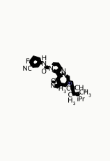 CC(C)C(C)C(C)C(C)(C)/C=C1\Cc2cnoc2-c2c3c(nn2C1)CCN(C(=O)Nc1ccc(F)c(C#N)c1)C3